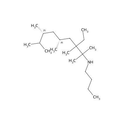 CCCCNC(C)(C)C(C)(CC)C[C@H](C)C[C@@H](C)C(C)C